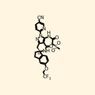 CS(=O)(=O)CC(=O)Nc1c2c(nn1-c1ccc(C#N)cn1)C[C@@]1(CCc3cc(OCC(F)(F)F)ccc31)NC2=O